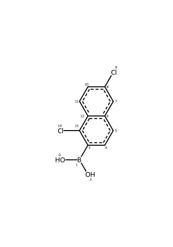 OB(O)c1ccc2cc(Cl)ccc2c1Cl